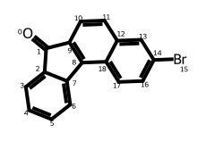 O=C1c2ccccc2-c2c1ccc1cc(Br)ccc21